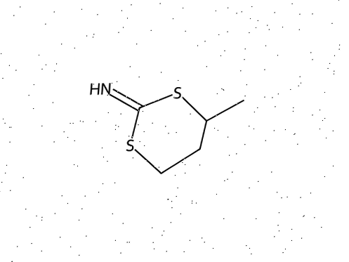 CC1CCSC(=N)S1